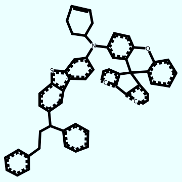 C1=CCC(N(c2ccc3c(c2)C2(c4ccccc4O3)c3ccccc3-c3ccccc32)c2ccc3c(c2)sc2ccc(C(CCc4ccccc4)c4ccccc4)cc23)CC1